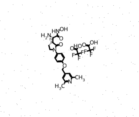 Cc1cc(COc2ccc(N3CC[C@H]([C@H](N)C(=O)NO)C3=O)cc2)cc(C)n1.O=C(O)C(F)(F)F.O=C(O)C(F)(F)F